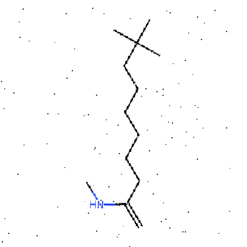 C=C(CCCCCCC(C)(C)C)NC